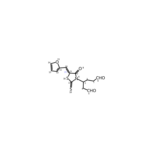 O=CCCC(CC=O)N1C(=O)/C(=C/c2ccco2)SC1=S